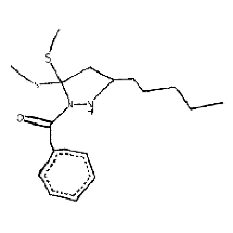 CCCCCC1CC(SC)(SC)N(C(=O)c2ccccc2)N1